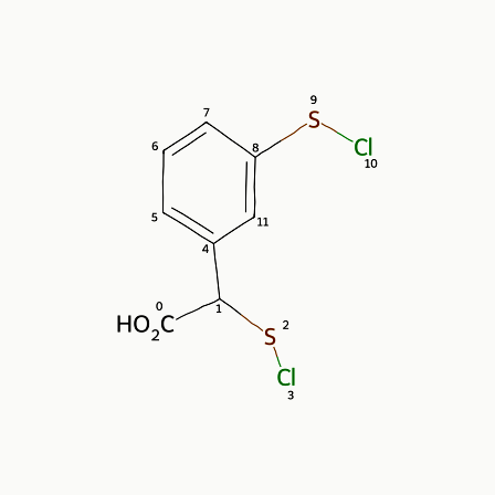 O=C(O)C(SCl)c1cccc(SCl)c1